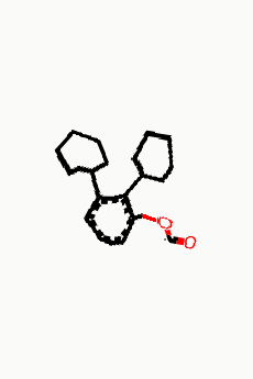 O=[C]Oc1cccc(C2CCCCC2)c1C1CCCCC1